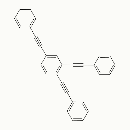 C(#Cc1c[c]c(C#Cc2ccccc2)c(C#Cc2ccccc2)c1)c1ccccc1